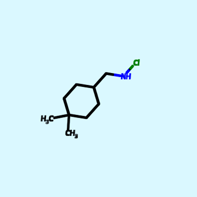 CC1(C)CCC(CNCl)CC1